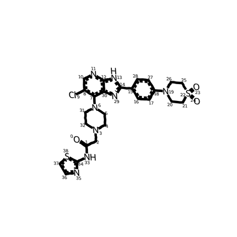 O=C(CN1CCN(c2c(Cl)cnc3[nH]c(-c4ccc(N5CCS(=O)(=O)CC5)cc4)nc23)CC1)Nc1nccs1